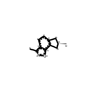 Cc1noc2c3c(ccc12)C[C@H](C)C3